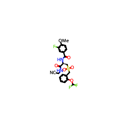 COc1ccc(C(=O)N[C@@H](CS(=O)(=O)Cc2ccccc2OC(F)F)C(=O)NCC#N)cc1F